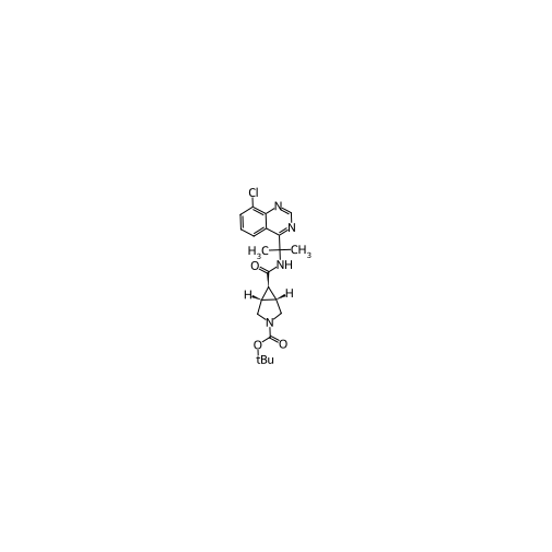 CC(C)(C)OC(=O)N1C[C@@H]2[C@H](C1)[C@H]2C(=O)NC(C)(C)c1ncnc2c(Cl)cccc12